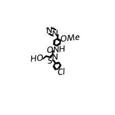 COc1cc(NC(=O)c2nc(-c3ccc(Cl)cc3)sc2CCO)ccc1CN1CCN(C)CC1